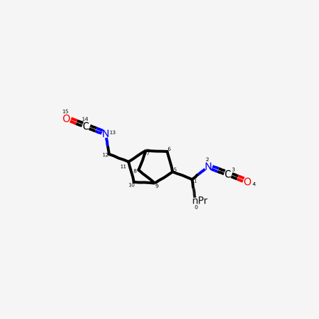 CCCC(N=C=O)C1CC2CC1CC2CN=C=O